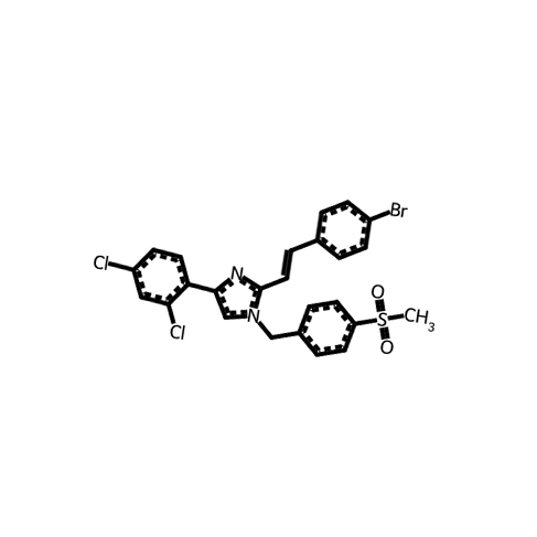 CS(=O)(=O)c1ccc(Cn2cc(-c3ccc(Cl)cc3Cl)nc2/C=C/c2ccc(Br)cc2)cc1